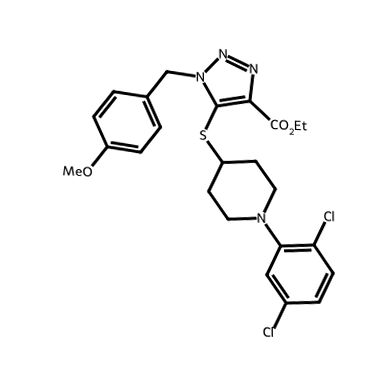 CCOC(=O)c1nnn(Cc2ccc(OC)cc2)c1SC1CCN(c2cc(Cl)ccc2Cl)CC1